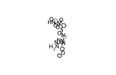 Nc1ncnc2c1c(-c1ccc(Oc3ccccc3)cc1)nn2[C@@H]1CCCN(C(=O)CSc2cccc3c2C(=O)N(C2CCC(=O)NC2=O)C3=O)C1